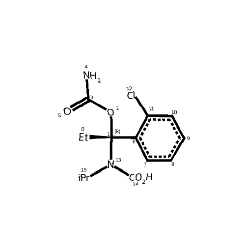 CC[C@@](OC(N)=O)(c1ccccc1Cl)N(C(=O)O)C(C)C